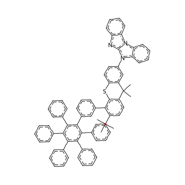 CC(C)(C)c1ccc2c(c1-c1cccc(-c3c(-c4ccccc4)c(-c4ccccc4)c(-c4ccccc4)c(-c4ccccc4)c3-c3ccccc3)c1)Sc1ccc(-n3c4ccccc4n4c5ccccc5nc34)cc1C2(C)C